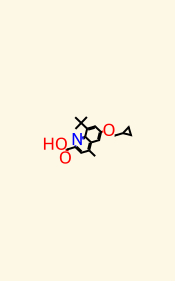 Cc1cc(C(=O)O)nc2c(C(C)(C)C)cc(OCC3CC3)cc12